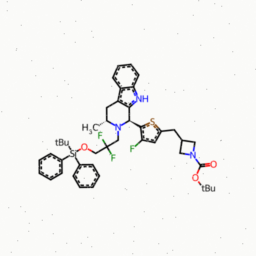 C[C@@H]1Cc2c([nH]c3ccccc23)[C@@H](c2sc(CC3CN(C(=O)OC(C)(C)C)C3)cc2F)N1CC(F)(F)CO[Si](c1ccccc1)(c1ccccc1)C(C)(C)C